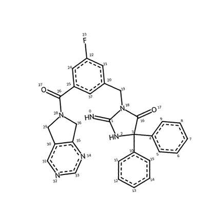 N=C1NC(c2ccccc2)(c2ccccc2)C(=O)N1Cc1cc(F)cc(C(=O)N2Cc3cncnc3C2)c1